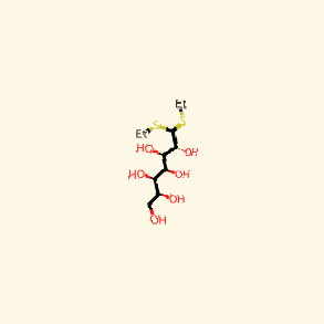 CCSC(SCC)[C@H](O)[C@H](O)[C@@H](O)[C@H](O)[C@@H](O)CO